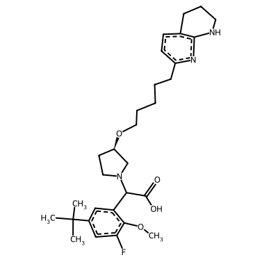 COc1c(F)cc(C(C)(C)C)cc1C(C(=O)O)N1CC[C@@H](OCCCCCc2ccc3c(n2)NCCC3)C1